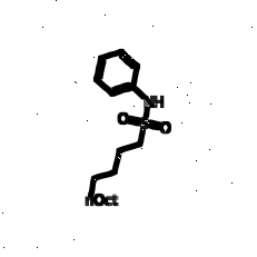 CCCCCCCCCCCCS(=O)(=O)Nc1ccccc1